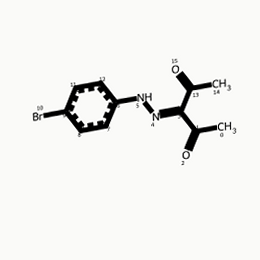 CC(=O)C(=NNc1ccc(Br)cc1)C(C)=O